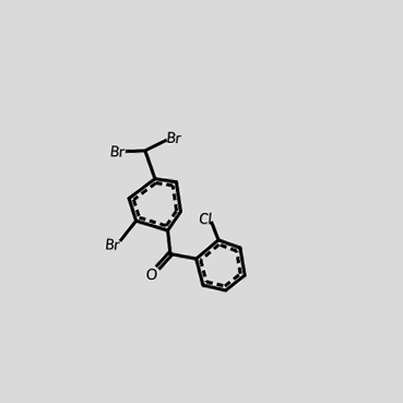 O=C(c1ccccc1Cl)c1ccc(C(Br)Br)cc1Br